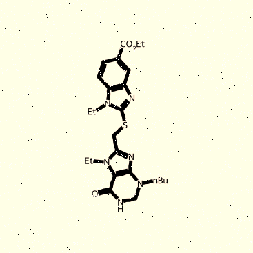 CCCCN1CNC(=O)c2c1nc(CSc1nc3cc(C(=O)OCC)ccc3n1CC)n2CC